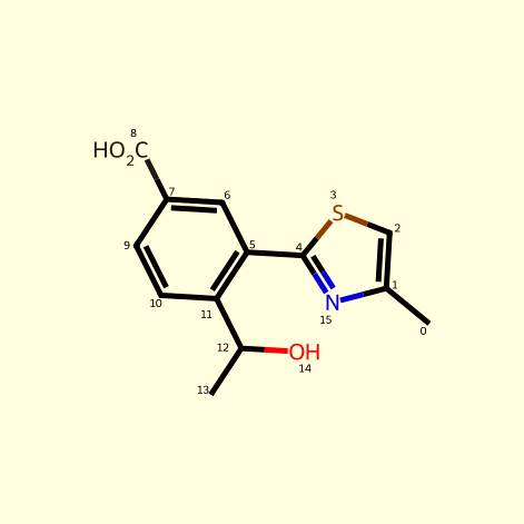 Cc1csc(-c2cc(C(=O)O)ccc2C(C)O)n1